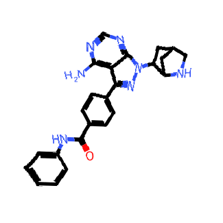 Nc1ncnc2c1c(-c1ccc(C(=O)Nc3ccccc3)cc1)nn2C1CC2CNC1C2